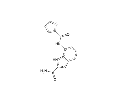 NC(=O)c1cc2cccc(NC(=O)c3cccs3)c2[nH]1